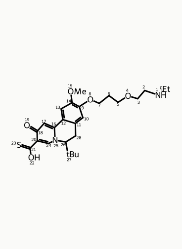 CCNCCOCCCOc1cc2c(cc1OC)-c1cc(=O)c(C(O)=S)cn1C(C(C)(C)C)C2